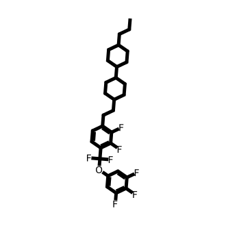 CCCC1CCC(C2CCC(CCc3ccc(C(F)(F)Oc4cc(F)c(F)c(F)c4)c(F)c3F)CC2)CC1